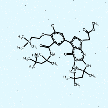 COC(=O)Cn1cc(-c2cc(Cl)c(OCC[Si](C)(C)C)c(C(=O)NC(C)(C)CC(C)(C)C)c2)c2c(=O)n(C)c(NC(C)(C)CC(C)(C)C)nc21